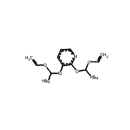 C=COC(CCCC)Oc1cccnc1OC(CCCC)OC=C